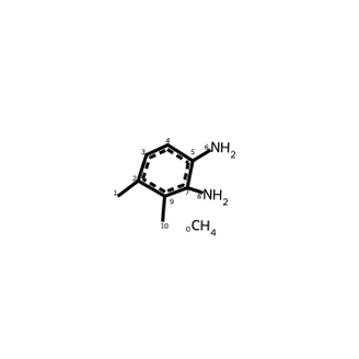 C.Cc1ccc(N)c(N)c1C